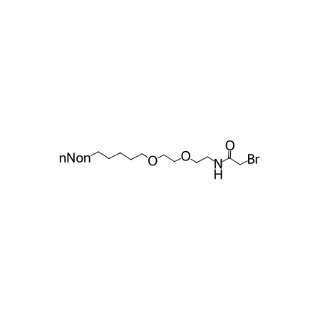 CCCCCCCCCCCCCCOCCOCCNC(=O)CBr